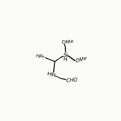 CCCC(NC=O)[SiH](OC)OC